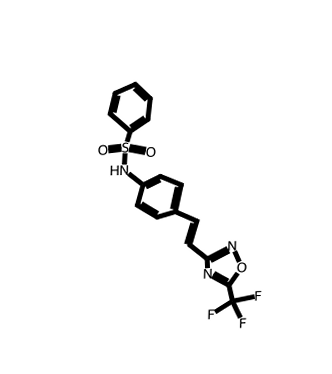 O=S(=O)(Nc1ccc(C=Cc2noc(C(F)(F)F)n2)cc1)c1ccccc1